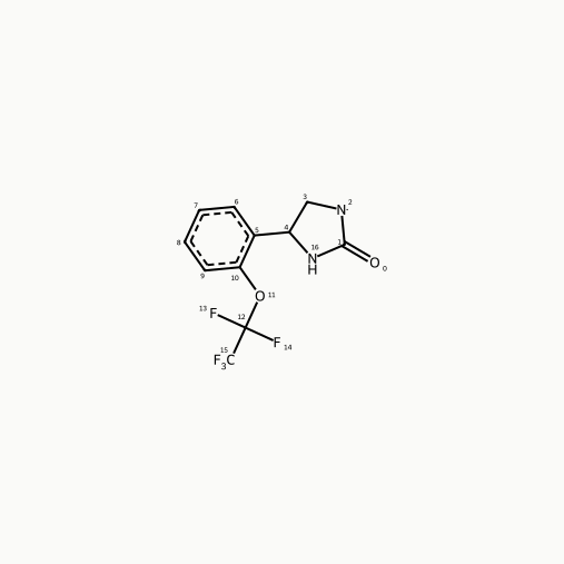 O=C1[N]CC(c2ccccc2OC(F)(F)C(F)(F)F)N1